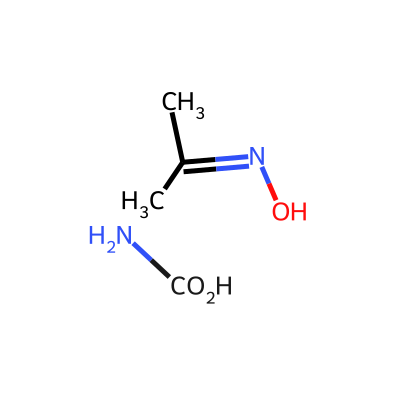 CC(C)=NO.NC(=O)O